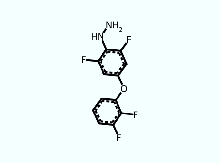 NNc1c(F)cc(Oc2cccc(F)c2F)cc1F